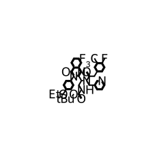 CCOc1ccc(-n2c(C(CNC(=O)OC(C)(C)C)N(Cc3cccnc3)C(=O)Cc3ccc(F)c(C(F)(F)F)c3)nc3ccccc3c2=O)cc1